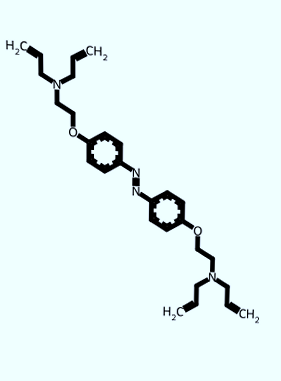 C=CCN(CC=C)CCOc1ccc(/N=N/c2ccc(OCCN(CC=C)CC=C)cc2)cc1